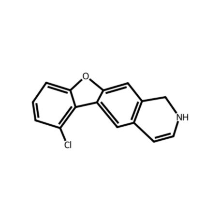 Clc1cccc2oc3cc4c(cc3c12)C=CNC4